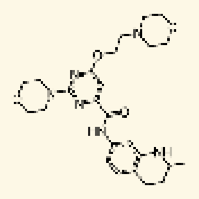 CC1CCc2ccc(NC(=O)c3cc(OCCN4CCOCC4)nc(N4CCOCC4)n3)cc2N1